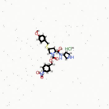 COc1ccc(CS[C@H]2C[C@@H](C(=O)N[C@@H]3CCNC3)N(C(=O)OCc3ccc([N+](=O)[O-])cc3)C2)cc1.Cl